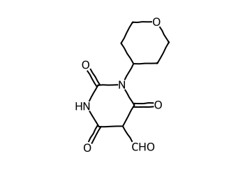 O=CC1C(=O)NC(=O)N(C2CCOCC2)C1=O